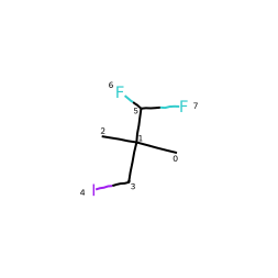 CC(C)(CI)C(F)F